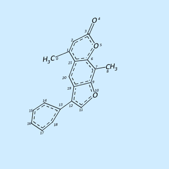 Cc1cc(=O)oc2c(C)c3occ(-c4ccccc4)c3cc12